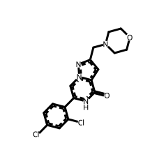 O=c1[nH]c(-c2ccc(Cl)cc2Cl)cn2nc(CN3CCOCC3)cc12